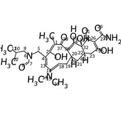 C\C1=C(O)/C(CN(C=O)CC(C)C)=C\C(N(C)C)=C\C[C@H]2C[C@H]3CC(O)=C(C(N)=O)C(=O)[C@@]3(O)C(O)=C2C1=O